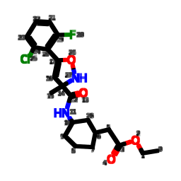 CCOC(=O)CC1CCCC(NC(=O)C2(C)C=C(c3c(F)cccc3Cl)ON2)C1